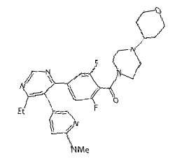 CCc1ncnc(-c2cc(F)c(C(=O)N3CCN(C4CCOCC4)CC3)c(F)c2)c1-c1ccc(NC)nc1